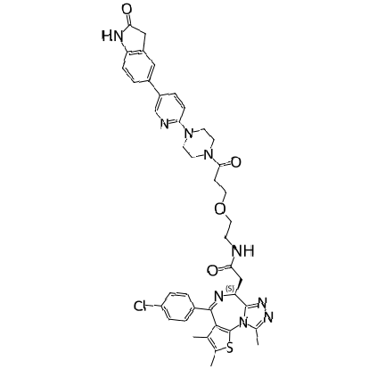 Cc1sc2c(c1C)C(c1ccc(Cl)cc1)=N[C@@H](CC(=O)NCCOCCC(=O)N1CCN(c3ccc(-c4ccc5c(c4)CC(=O)N5)cn3)CC1)c1nnc(C)n1-2